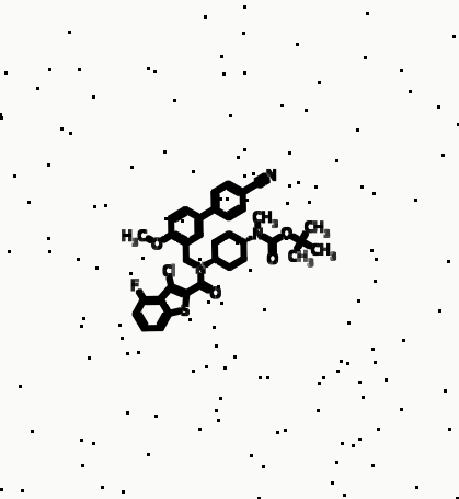 COc1ccc(-c2ccc(C#N)cc2)cc1CN(C(=O)c1sc2cccc(F)c2c1Cl)[C@H]1CC[C@H](N(C)C(=O)OC(C)(C)C)CC1